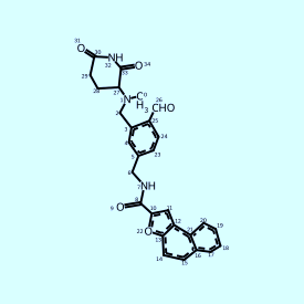 CN(Cc1cc(CNC(=O)c2cc3c(ccc4ccccc43)o2)ccc1C=O)C1CCC(=O)NC1=O